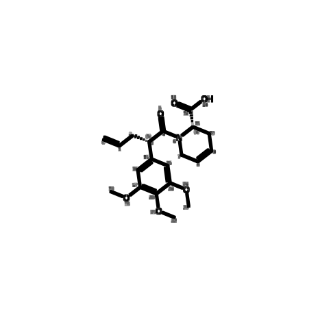 C=CC[C@H](C(=O)N1CC=CC[C@H]1C(=O)O)c1cc(OC)c(OC)c(OC)c1